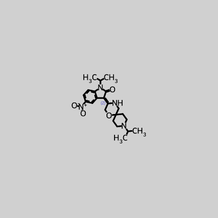 CC(C)N1CCC2(CC1)CN/C(=C1\C(=O)N(C(C)C)c3ccc([N+](=O)[O-])cc31)CO2